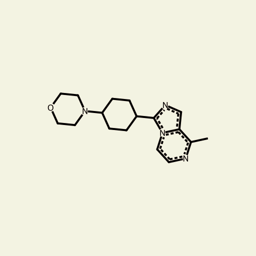 Cc1nccn2c(C3CCC(N4CCOCC4)CC3)ncc12